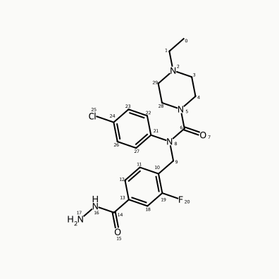 CCN1CCN(C(=O)N(Cc2ccc(C(=O)NN)cc2F)c2ccc(Cl)cc2)CC1